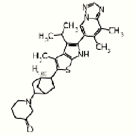 Cc1c(-c2[nH]c3sc(C4CC5C[C@H]4CC5N4CCCC(=O)C4)c(C)c3c2C(C)C)cn2ncnc2c1C